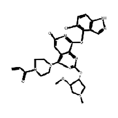 C=CC(=O)N1CCN(c2nc(O[C@@H]3CN(C)C[C@H]3OC)nc3c(Oc4c(Cl)ccc5[nH]ncc45)nc(Cl)cc23)CC1